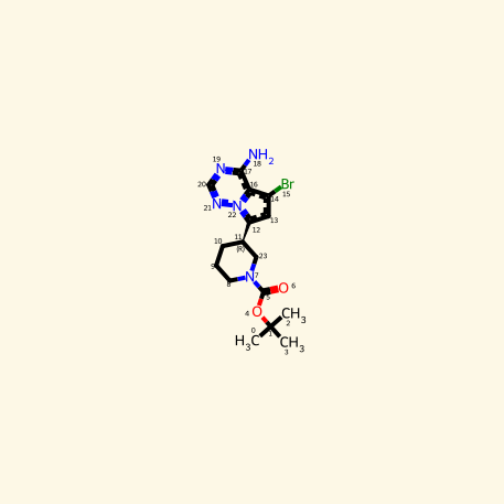 CC(C)(C)OC(=O)N1CCC[C@@H](c2cc(Br)c3c(N)ncnn23)C1